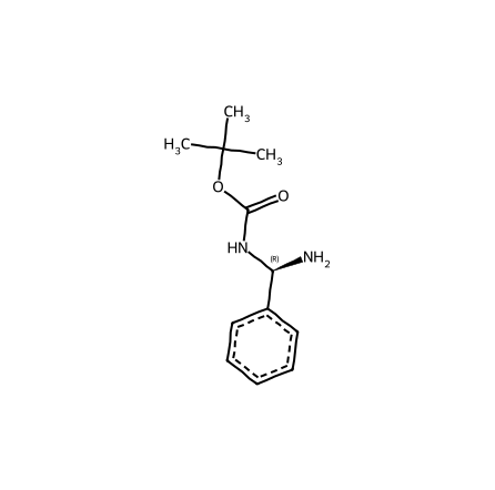 CC(C)(C)OC(=O)N[C@@H](N)c1ccccc1